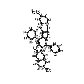 CCc1ccc2cc3oc4c(-c5ccccc5)c5c(oc6cc7ccc(CC)cc7cc65)c(-c5ccccc5)c4c3cc2c1